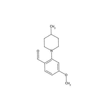 COc1ccc(C=O)c(N2CCC(C)CC2)c1